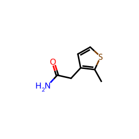 Cc1sccc1CC(N)=O